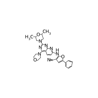 CC1CN(c2nc(N3CCOCC3)c3ccc(Nc4oc(-c5ccccc5)cc4C#N)nc3n2)CC(C)O1